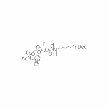 CCCCCCCCCCCCCCCCCNNC(=O)OCC1COC(COC(=O)N(Cc2cccc[n+]2CC)C(C)=O)O1.[I-]